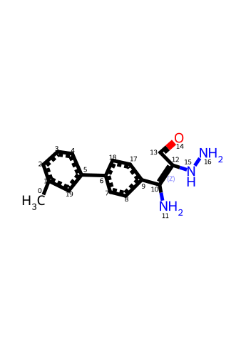 Cc1cccc(-c2ccc(/C(N)=C(\C=O)NN)cc2)c1